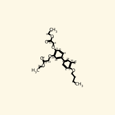 CCCCOc1ccc(-c2ccc(OCC(=O)OCC)c(OCC(=O)OCC)c2)cc1F